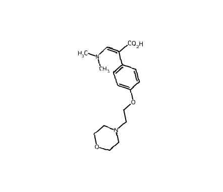 CN(C)/C=C(/C(=O)O)c1ccc(OCCN2CCOCC2)cc1